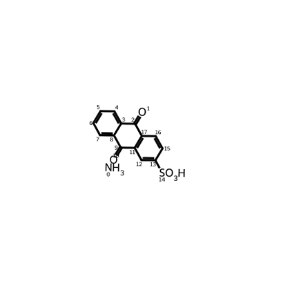 N.O=C1c2ccccc2C(=O)c2cc(S(=O)(=O)O)ccc21